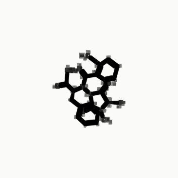 COC(=O)[C@H](Cc1ccccc1)N(C(=O)c1c(C)cccc1Cl)N1C(=O)[C@@H](C(C)C)N(C)C1=O